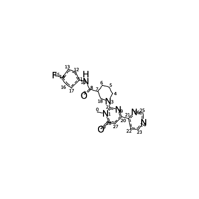 Cn1c(N2CCCC(C(=O)Nc3ccc(F)cc3)C2)nc(-c2ccncn2)cc1=O